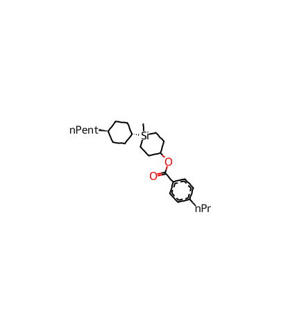 CCCCC[C@H]1CC[C@H]([Si]2(C)CCC(OC(=O)c3ccc(CCC)cc3)CC2)CC1